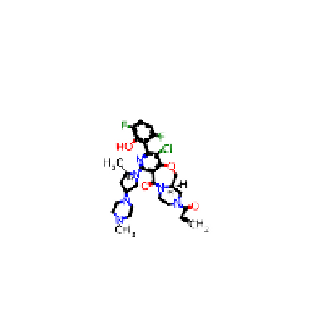 C=CC(=O)N1CCN2C(=O)c3c(N4CC(N5CCN(C)CC5)C[C@@H]4C)nc(-c4c(F)ccc(F)c4O)c(Cl)c3OC[C@H]2C1